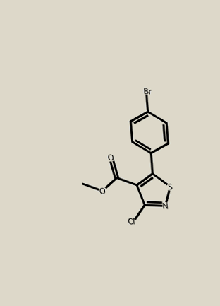 COC(=O)c1c(Cl)nsc1-c1ccc(Br)cc1